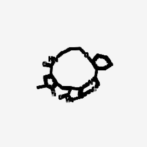 Cc1cc2c([nH]1)/C=C1\C(=O)Nc3ccc(nc31)-c1ccccc1OCCCNC2=O